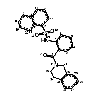 O=C(c1ccccc1NS(=O)(=O)c1cccc2cccnc12)N1CCc2ccccc2C1